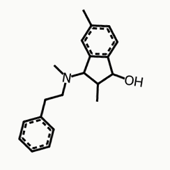 Cc1ccc2c(c1)C(N(C)CCc1ccccc1)C(C)C2O